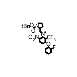 CN(CC1CCCN1C(=O)OC(C)(C)C)c1c([N+](=O)[O-])ccc(Oc2ccccc2F)c1C(F)(F)F